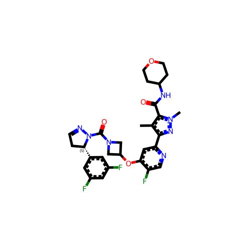 Cc1c(-c2cc(OC3CN(C(=O)N4N=CC[C@H]4c4cc(F)cc(F)c4)C3)c(F)cn2)nn(C)c1C(=O)NC1CCOCC1